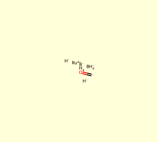 [BH4-].[BH4-].[C]=O.[H-].[H-].[Ru+4]